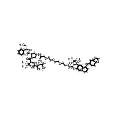 CC[C@@H](NC(=O)[C@@H]1C[C@H](NC(=O)COCCOCCOCCOCCOc2cc3nccc(Nc4ccc5scnc5c4)c3cc2S(=O)(=O)C(C)(C)C)CN1C(=O)[C@@H](NC(=O)[C@H](C)N(C)C(=O)O)C(C)(C)C)c1ccccc1